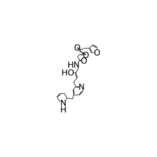 O=C(CS(=O)(=O)Cc1ccoc1)NCC(O)=CCc1cc(CC2CC=CCN2)ccn1